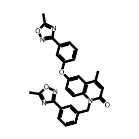 Cc1nc(-c2cccc(Cn3c(=O)cc(C)c4cc(Oc5cccc(-c6noc(C)n6)c5)ccc43)c2)no1